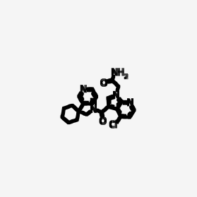 NC(=O)Cn1cc(C(=O)NCC2(c3cccnc3)CCCCC2)c2c(Cl)ccnc21